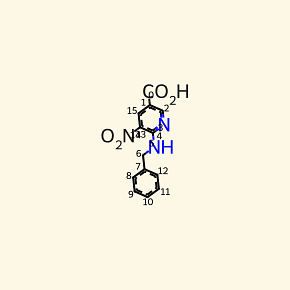 O=C(O)c1cnc(NCc2ccccc2)c([N+](=O)[O-])c1